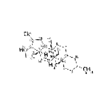 CC1CC[C@@]2(C)C(CC[C@@H]3[C@H]2CC[C@]2(C)C(O)C(Cl)C[C@@H]32)C1